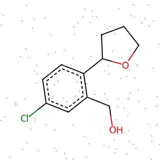 OCc1cc(Cl)ccc1C1CCCO1